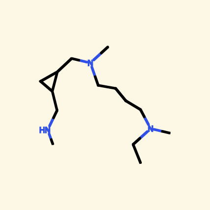 CCN(C)CCCCN(C)CC1CC1CNC